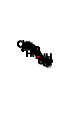 Cc1cc(C(=O)NC23CC(NC(=O)COc4ccc(Cl)c(F)c4)(C2)C3)oc1C